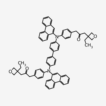 CCC1(CC(=O)Cc2ccc(N(c3ccc(-c4ccc(N(c5ccc(CC(=O)CC6(CC)COC6)cc5)c5cc6ccccc6c6ccccc56)cc4)cc3)c3cc4ccccc4c4ccccc34)cc2)COC1